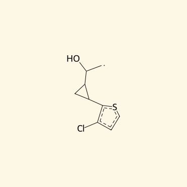 [CH2]C(O)C1CC1c1sccc1Cl